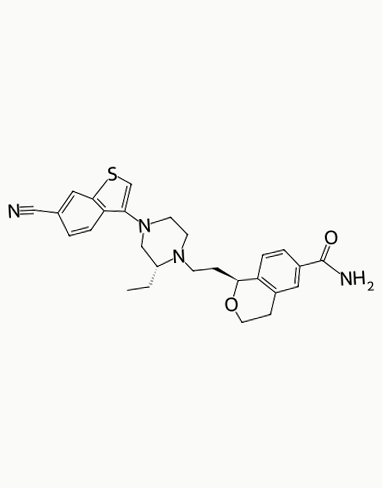 CC[C@@H]1CN(c2csc3cc(C#N)ccc23)CCN1CC[C@@H]1OCCc2cc(C(N)=O)ccc21